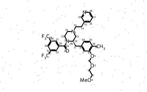 COCCOCOc1cc(C[C@@H]2CN(CCc3cccnc3)CCN2C(=O)c2cc(C(F)(F)F)cc(C(F)(F)F)c2)ccc1C